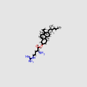 CC(C)CCC[C@@H](C)[C@H]1CC[C@H]2[C@@H]3CC=C4CC(OC(=O)[C@@H](N)CCCNC(=N)N)CC[C@]4(C)[C@H]3CC[C@]12C